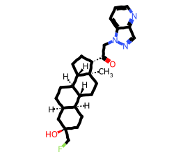 C[C@]12CC[C@H]3[C@@H](CC[C@@H]4C[C@@](O)(CF)CC[C@@H]43)[C@@H]1CC[C@@H]2C(=O)Cn1ncc2ncccc21